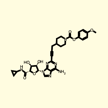 COc1ccc(OC(=O)N2CCC(CC#Cc3nc(N)c4ncn([C@@H]5O[C@H](C(=O)NC6CC6)[C@@H](O)[C@@H]5O)c4n3)CC2)cc1